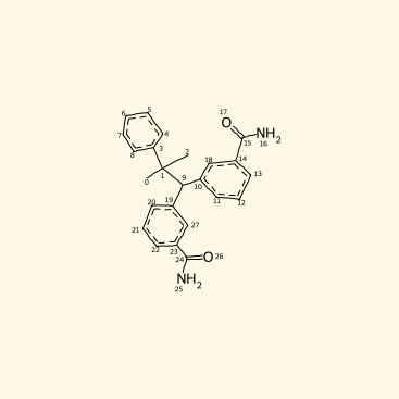 CC(C)(c1ccccc1)C(c1cccc(C(N)=O)c1)c1cccc(C(N)=O)c1